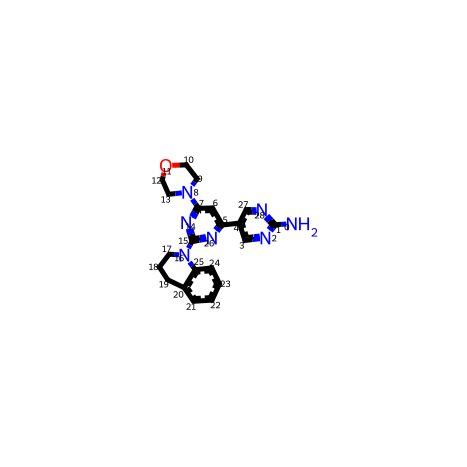 Nc1ncc(-c2cc(N3CCOCC3)nc(N3CCCc4ccccc43)n2)cn1